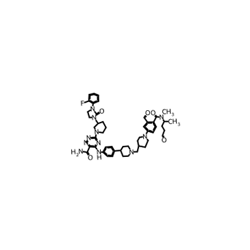 CC(CCC=O)N(C)C(=O)c1ccc(N2CCC(CN3CCC(c4ccc(Nc5nc(N6CCCC(N7CCN(c8ccccc8F)C7=O)C6)nnc5C(N)=O)cc4)CC3)CC2)cc1C=O